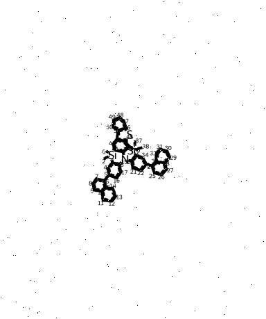 C[Si]1(C)c2cc(-c3cccc4ccccc34)ccc2N2c3ccc(-c4cccc5ccccc45)cc3[Si](C)(C)c3c2c1cc1c3sc2ccccc21